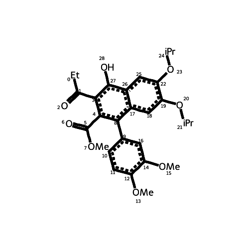 CCC(=O)c1c(C(=O)OC)c(-c2ccc(OC)c(OC)c2)c2cc(OC(C)C)c(OC(C)C)cc2c1O